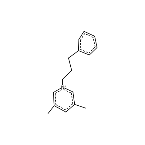 Cc1cc(C)c[n+](CCCc2ccccc2)c1